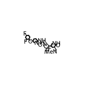 CNCc1cc(C2CN(C(C)C(=O)Nc3ccc(Oc4ccc(F)cc4F)cn3)CCC2(F)F)c[nH]c1=O